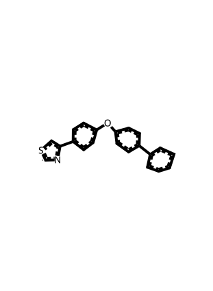 [c]1nc(-c2ccc(Oc3ccc(-c4ccccc4)cc3)cc2)cs1